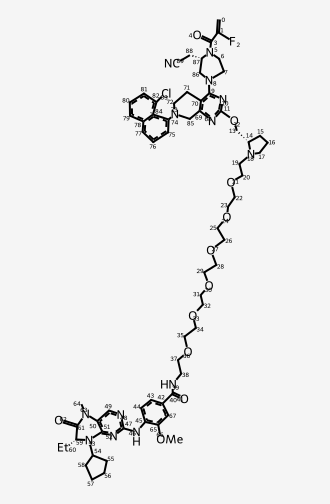 C=C(F)C(=O)N1CCN(c2nc(OC[C@@H]3CCCN3CCOCCOCCOCCOCCOCCOCCNC(=O)c3ccc(Nc4ncc5c(n4)N(C4CCCC4)[C@H](CC)C(=O)N5C)c(OC)c3)nc3c2CCN(c2cccc4cccc(Cl)c24)C3)C[C@@H]1CC#N